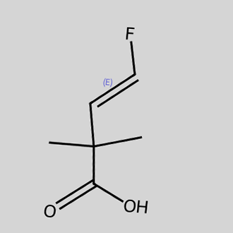 CC(C)(/C=C/F)C(=O)O